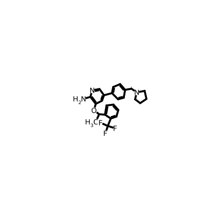 CC(Oc1cc(-c2ccc([CH]N3CCCC3)cc2)cnc1N)c1ccccc1C(F)(F)F